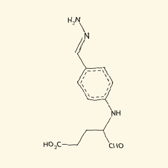 NN=Cc1ccc(NC(C=O)CCC(=O)O)cc1